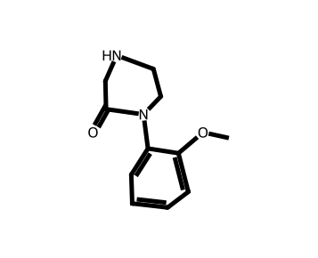 COc1ccccc1N1CCNCC1=O